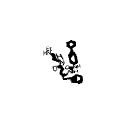 CCNCCNC(=O)/C=C/[C@H](Cc1ccccc1)NC(=O)Nc1ccc(-c2ccccc2)cc1